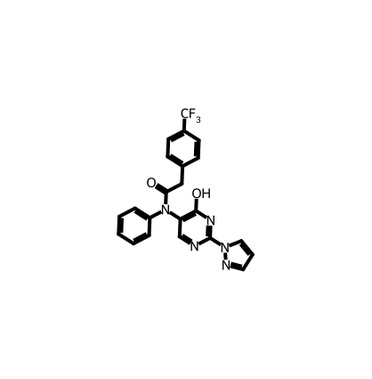 O=C(Cc1ccc(C(F)(F)F)cc1)N(c1ccccc1)c1cnc(-n2cccn2)nc1O